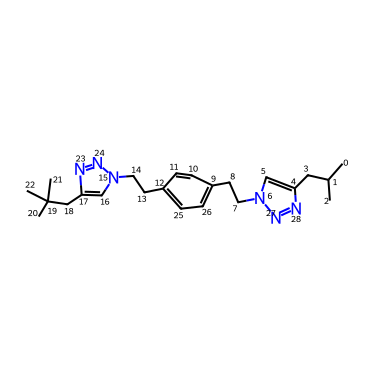 CC(C)Cc1cn(CCc2ccc(CCn3cc(CC(C)(C)C)nn3)cc2)nn1